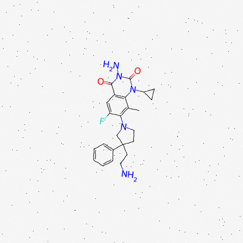 Cc1c(N2CCC(CCN)(c3ccccc3)C2)c(F)cc2c(=O)n(N)c(=O)n(C3CC3)c12